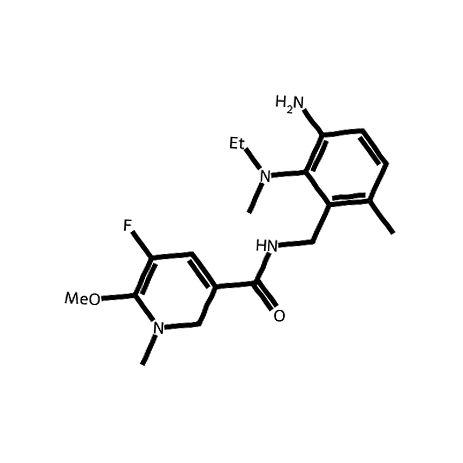 CCN(C)c1c(N)ccc(C)c1CNC(=O)C1=CC(F)=C(OC)N(C)C1